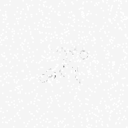 CCCCN(CC(O)C(Cc1ccccc1)NC(=O)C(CC(N)=O)NC(=O)c1ccc2ccccc2n1)C(=O)NC(C)(C)C